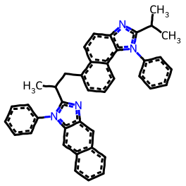 CC(C)c1nc2ccc3c(CC(C)c4nc5cc6ccccc6cc5n4-c4ccccc4)cccc3c2n1-c1ccccc1